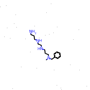 CN(CCCNCCNCCCN)Cc1ccccc1